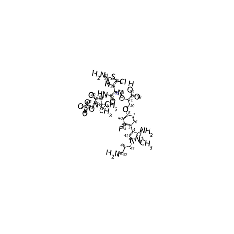 C[n+]1c(N)c(-c2ccc(OCC(O/N=C(\C(=O)N[C@@H]3C(=O)N(OS(=O)(=O)[O-])C3(C)C)c3nc(N)sc3Cl)C(=O)O)cc2F)cn1CCCN